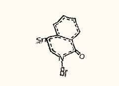 O=c1c2ccccc2ccn1Br.[Sn]